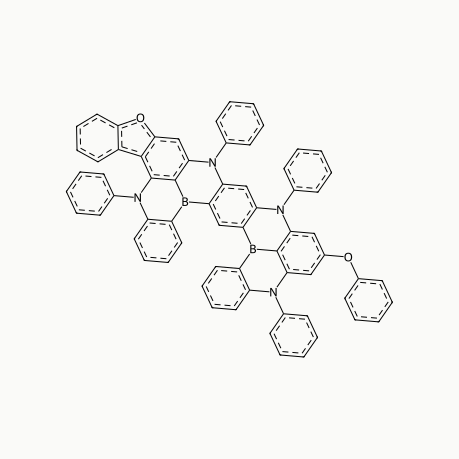 c1ccc(Oc2cc3c4c(c2)N(c2ccccc2)c2cc5c(cc2B4c2ccccc2N3c2ccccc2)B2c3ccccc3N(c3ccccc3)c3c2c(cc2oc4ccccc4c32)N5c2ccccc2)cc1